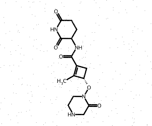 CC1=C(C(=O)NC2CCC(=O)NC2=O)C[C@@H]1ON1CCNCC1=O